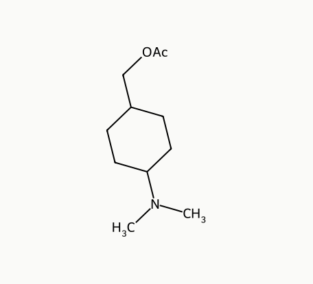 CC(=O)OCC1CCC(N(C)C)CC1